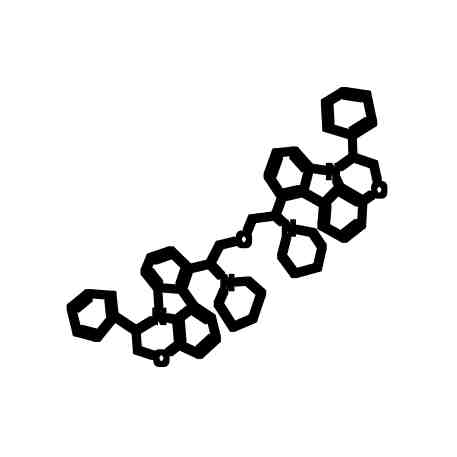 c1ccc(C2COc3cccc4c5c(C(COCC(c6cccc7c6c6cccc8c6n7C(c6ccccc6)CO8)N6CCCCC6)N6CCCCC6)cccc5n2c34)cc1